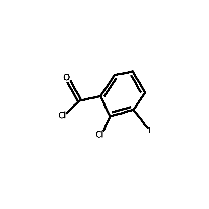 O=C(Cl)c1cccc(I)c1Cl